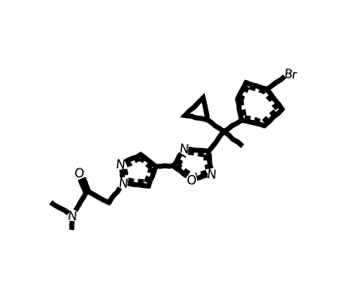 CN(C)C(=O)Cn1cc(-c2nc(C(C)(c3ccc(Br)cc3)C3CC3)no2)cn1